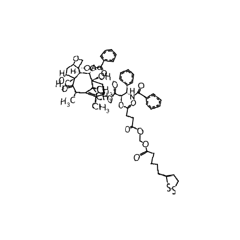 CC(=O)O[C@@]12COC1C[C@H](O)[C@@]1(C)C(=O)[C@H](C)C3=C(C)[C@@H](OC(=O)[C@H](OC(=O)CCC(=O)OCOC(=O)CCCCC4CCSS4)[C@@H](NC(=O)c4ccccc4)c4ccccc4)C[C@@](O)([C@@H](OC(=O)c4ccccc4)[C@@H]12)C3(C)C